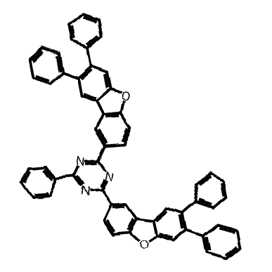 c1ccc(-c2nc(-c3ccc4oc5cc(-c6ccccc6)c(-c6ccccc6)cc5c4c3)nc(-c3ccc4oc5cc(-c6ccccc6)c(-c6ccccc6)cc5c4c3)n2)cc1